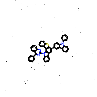 c1ccc(-c2nc(-n3c4ccccc4c4cc(-c5ccc6c(c5)c5ccccc5n6-c5ccccc5)c5sc6ccccc6c5c43)nc3ccccc23)cc1